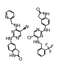 N#Cc1cnc(Nc2ccc3c(c2)CC(=O)N3)nc1NCc1ccccn1.O=C1Cc2cc(Nc3ncc(Cl)c(NCc4ccccc4C(F)(F)F)n3)ccc2N1